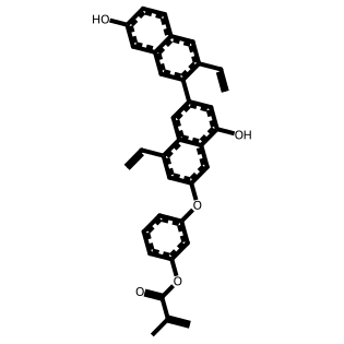 C=Cc1cc2ccc(O)cc2cc1-c1cc(O)c2cc(Oc3cccc(OC(=O)C(=C)C)c3)cc(C=C)c2c1